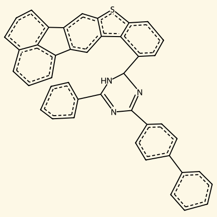 c1ccc(C2=NC(c3ccc(-c4ccccc4)cc3)=NC(c3cccc4sc5cc6c(cc5c34)-c3cccc4cccc-6c34)N2)cc1